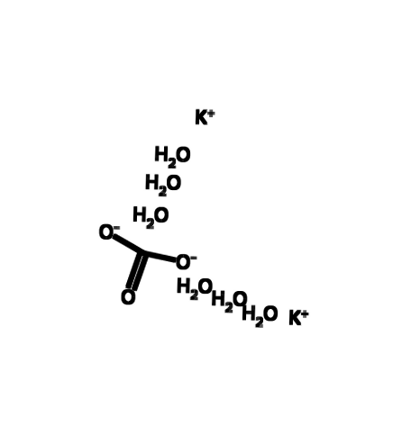 O.O.O.O.O.O.O=C([O-])[O-].[K+].[K+]